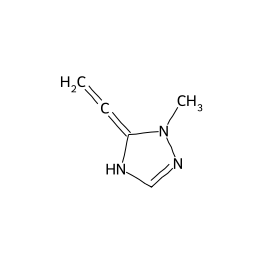 C=C=C1NC=NN1C